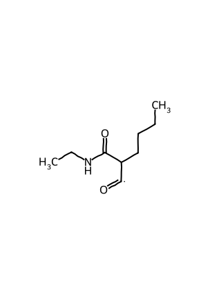 CCCCC([C]=O)C(=O)NCC